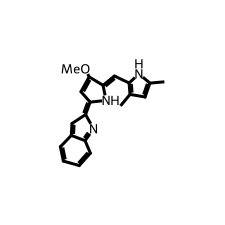 COc1cc(=C2C=c3ccccc3=N2)[nH]c1=Cc1[nH]c(C)cc1C